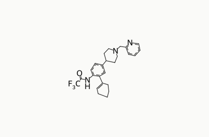 O=C(Nc1ccc(C2CCN(Cc3ccccn3)CC2)cc1C1=CCCCC1)C(F)(F)F